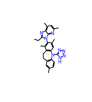 CCc1nc2c(C)cc(C)nc2n1-c1c(C)cc2c(c1C)CCc1cc(C)ccc1N2c1nnn[nH]1